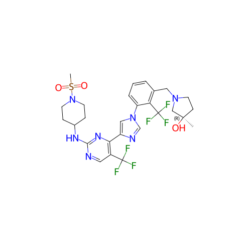 C[C@@]1(O)CCN(Cc2cccc(-n3cnc(-c4nc(NC5CCN(S(C)(=O)=O)CC5)ncc4C(F)(F)F)c3)c2C(F)(F)F)C1